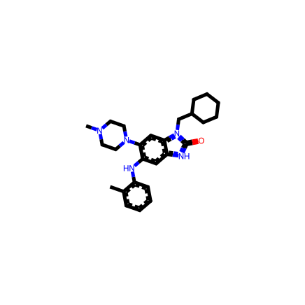 Cc1ccccc1Nc1cc2[nH]c(=O)n(CC3CCCCC3)c2cc1N1CCN(C)CC1